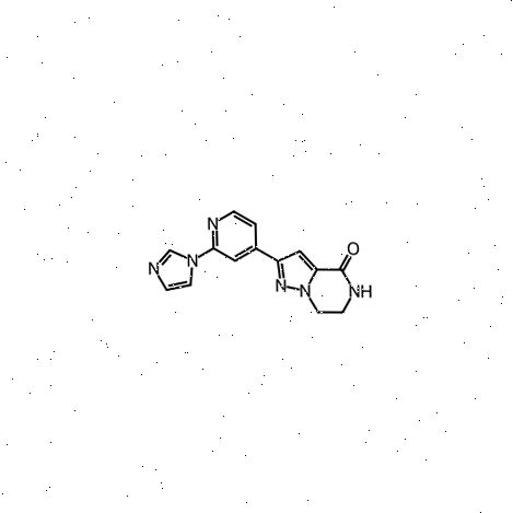 O=C1NCCn2nc(-c3ccnc(-n4ccnc4)c3)cc21